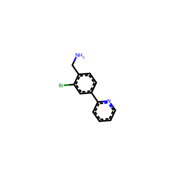 NCc1ccc(-c2ccccn2)cc1Br